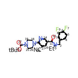 CCN(Cc1ccc(F)c(F)c1)C(=O)c1cnc(N2CCN(C(=O)OC(C)(C)C)CC2)c(C#N)c1